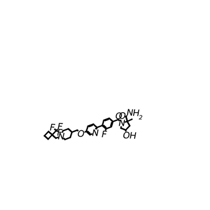 CC1(C(N)=O)CC(O)CN1C(=O)c1ccc(-c2ccc(OCC3CCN(CC4(C(F)(F)F)CCC4)CC3)cn2)c(F)c1